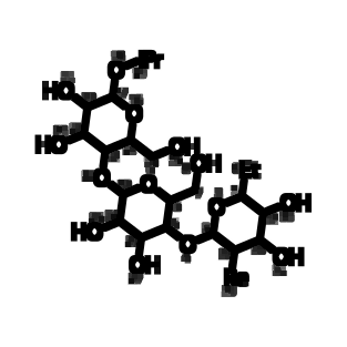 CCC1OC(OC2C(CO)OC(OC3C(CO)OC(OC(C)C)C(O)C3O)C(O)C2O)[CH]([Re])C(O)C1O